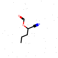 CCCC(C#N)O[C]=O